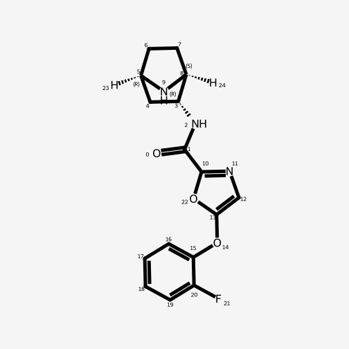 O=C(N[C@@H]1C[C@H]2CC[C@@H]1N2)c1ncc(Oc2ccccc2F)o1